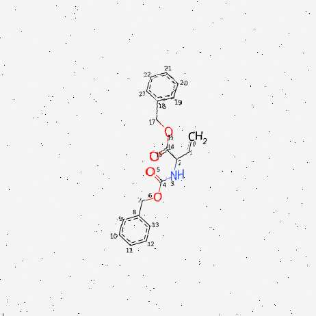 C=CC(NC(=O)OCc1ccccc1)C(=O)OCc1ccccc1